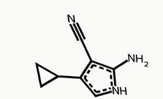 N#Cc1c(C2CC2)c[nH]c1N